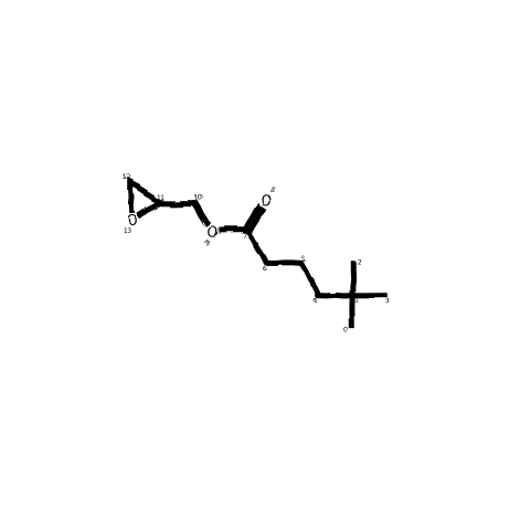 CC(C)(C)CCCC(=O)OCC1CO1